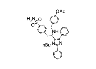 CCCCn1c(-c2ccccc2)nc(-c2ccccc2)c1C(Cc1ccc(S(N)(=O)=O)cc1)NCc1ccc(OC(C)=O)cc1